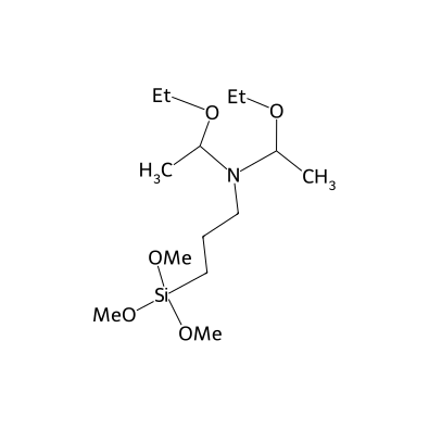 CCOC(C)N(CCC[Si](OC)(OC)OC)C(C)OCC